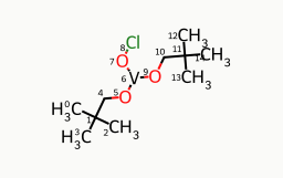 CC(C)(C)C[O][V]([O]Cl)[O]CC(C)(C)C